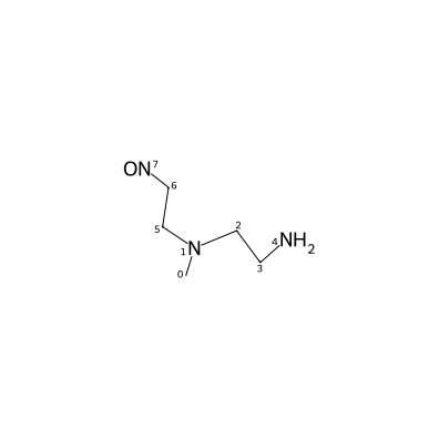 CN(CCN)CCN=O